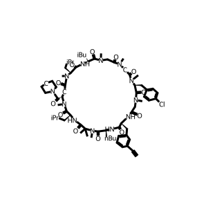 C#Cc1cccc(C[C@@H]2NC(=O)CN(C)C(=O)[C@H](Cc3ccc(Cl)cc3)N(C)C(=O)CN(C)C(=O)CN(C)C(=O)[C@H]([C@@H](C)CC)NC(=O)[C@H](CC(C)C)N(C)C(=O)C[C@@H](C(=O)N3CCCCC3)N(C)C(=O)[C@H](CC(C)C)NC(=O)C(C)(C)N(C)C(=O)[C@H](CCCC)NC2=O)c1